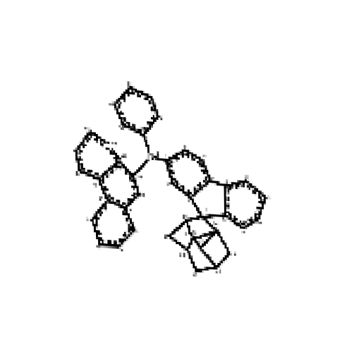 c1ccc(N(c2ccc3c(c2)C2(c4ccccc4-3)C3CC4CC5CC2(C4)C5C3)c2cc3ccccc3c3ccccc23)cc1